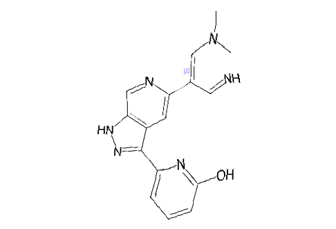 CN(C)/C=C(\C=N)c1cc2c(-c3cccc(O)n3)n[nH]c2cn1